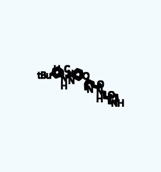 Cn1c(Nc2cccc(C(C)(C)C)c2)nc2cc(Oc3ccnc(C(=O)NCCC4CNCCO4)c3)ccc21